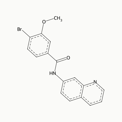 COc1cc(C(=O)Nc2ccc3cccnc3c2)ccc1Br